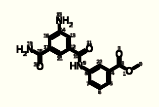 COC(=O)c1cccc(NC(=O)c2cc(N)cc(C(N)=O)c2)c1